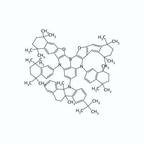 CC(C)(C)c1ccc2c(c1)C1(C)CCc3ccccc3C1(C)N2c1cc2c3c(c1)N1c4ccc5c(c4)C(C)(CCC5(C)C)CC4(C)CCC(C)(C)c5cc6oc(c1c6cc54)B3c1oc3cc4c(cc3c1N2c1ccc2c(c1)C(C)(C)CCC2(C)C)C(C)(C)CCC4(C)C